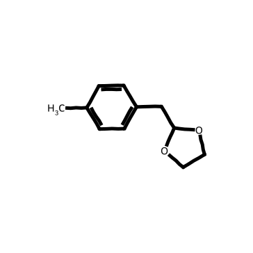 Cc1ccc(CC2OCCO2)cc1